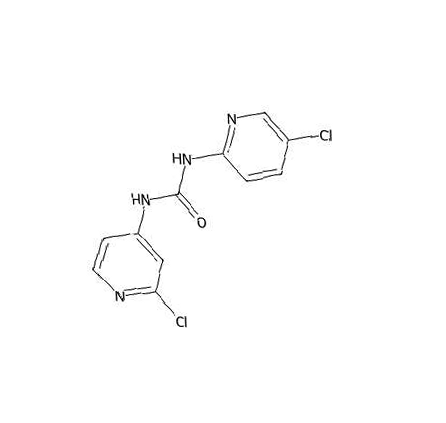 O=C(Nc1ccnc(Cl)c1)Nc1ccc(Cl)cn1